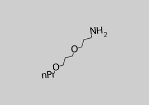 CCCOCCCOCCCN